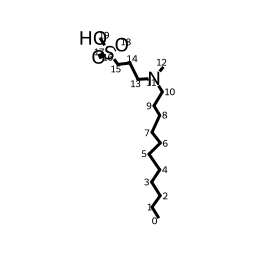 CCCCCCCCCCCN(C)CCCS(=O)(=O)O